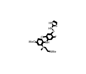 CNCCN(C)c1cc(OC)ccc1Nc1cc(F)c(SNC2NC=CS2)cc1Cl